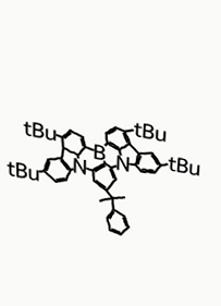 CC(C)(C)C1=CC=C2B3c4c(cc(C(C)(C)c5ccccc5)cc4-n4c5ccc(C(C)(C)C)cc5c5c(C(C)(C)C)ccc3c54)N3c4ccc(C(C)(C)C)cc4C1C23